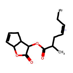 CC(C)C/C=C\CC(C)C(=O)OC1C(=O)OC2C=CCC21